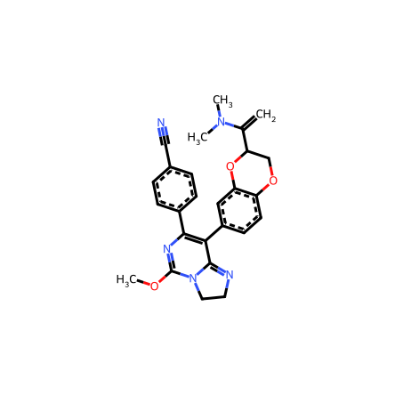 C=C(C1COc2ccc(C3=C(c4ccc(C#N)cc4)N=C(OC)N4CCN=C34)cc2O1)N(C)C